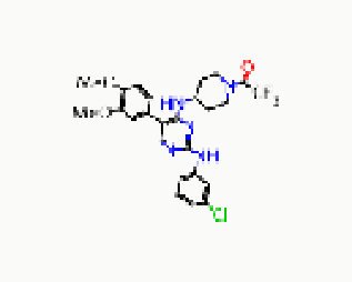 COc1ccc(-c2cnc(Nc3cccc(Cl)c3)nc2NC2CCN(C(=O)C(F)(F)F)CC2)cc1OC